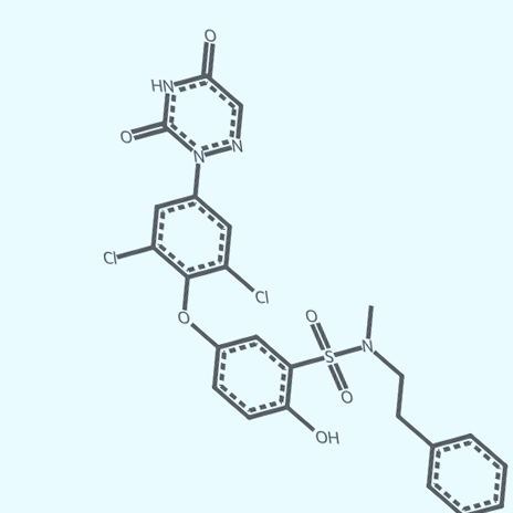 CN(CCc1ccccc1)S(=O)(=O)c1cc(Oc2c(Cl)cc(-n3ncc(=O)[nH]c3=O)cc2Cl)ccc1O